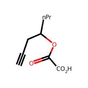 C#CCC(CCC)OC(=O)C(=O)O